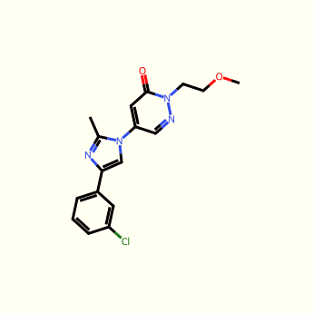 COCCn1ncc(-n2cc(-c3cccc(Cl)c3)nc2C)cc1=O